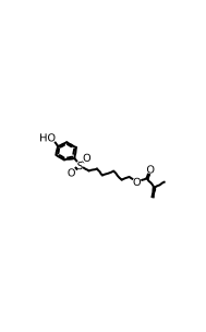 C=C(C)C(=O)OCCCCCCS(=O)(=O)c1ccc(O)cc1